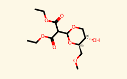 CCOC(=O)C(C(=O)OCC)C1OC[C@H](O)[C@@H](COC)O1